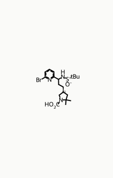 CC1(C)C[C@H](CCC(N[S+]([O-])C(C)(C)C)c2cccc(Br)n2)CN1C(=O)O